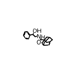 O=C(NCC(O)c1ccccc1)C12CC3CC(CC(C3)C1)C2